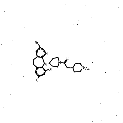 CC(=O)N1CCC(CC(=O)N2CCC([C@H]3c4ncc(Br)cc4CCc4cc(Cl)cc(Br)c43)CC2)CC1